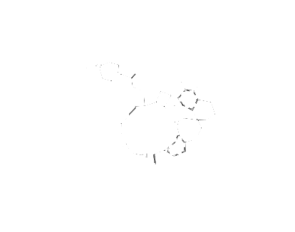 C/C1=C\C(C)CC(C)SNC(=O)c2ccc3c(c2)N(C[C@@H]2CCC2C1OCC(=O)N1CCN(C)CC1)CC1(CCCc2c1ccc(Cl)c2F)CO3